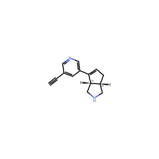 C#Cc1cncc(C2=CC[C@@H]3CNC[C@H]23)c1